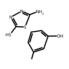 Cc1cccc(O)c1.Nc1nnc(S)s1